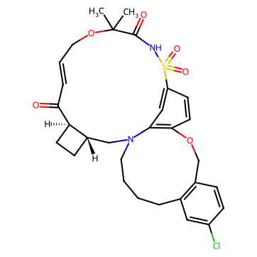 CC1(C)OC/C=C/C(=O)[C@@H]2CC[C@H]2CN2CCCCc3cc(Cl)ccc3COc3ccc(cc32)S(=O)(=O)NC1=O